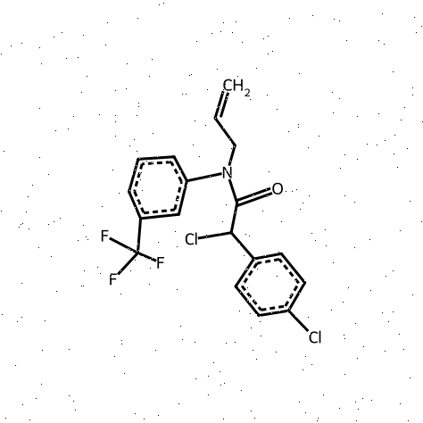 C=CCN(C(=O)C(Cl)c1ccc(Cl)cc1)c1cccc(C(F)(F)F)c1